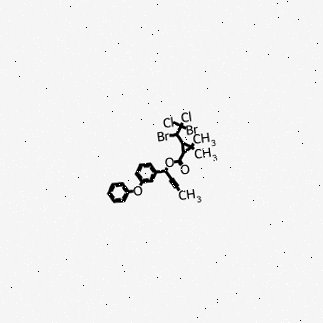 CC#CC(OC(=O)C1C(C(Br)C(Cl)(Cl)Br)C1(C)C)c1cccc(Oc2ccccc2)c1